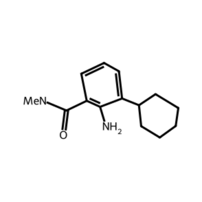 CNC(=O)c1cccc(C2CCCCC2)c1N